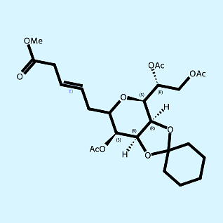 COC(=O)C/C=C/CC1O[C@@H]([C@@H](COC(C)=O)OC(C)=O)[C@H]2OC3(CCCCC3)O[C@H]2[C@H]1OC(C)=O